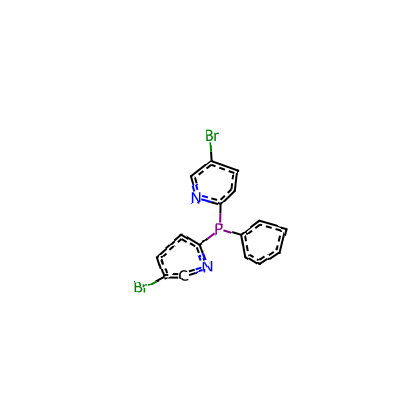 Brc1ccc(P(c2ccccc2)c2ccc(Br)cn2)nc1